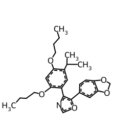 CCCCOc1cc(OCCCC)c(C(C)C)cc1-c1ncoc1-c1ccc2c(c1)OCO2